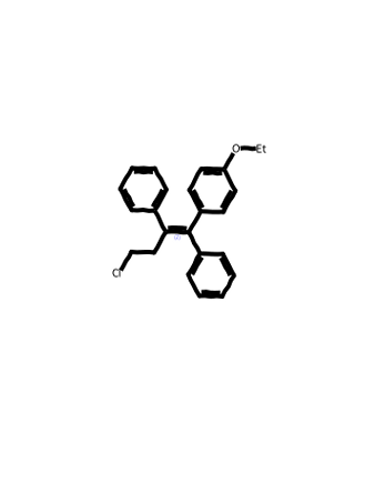 CCOc1ccc(/C(=C(/CCCl)c2ccccc2)c2ccccc2)cc1